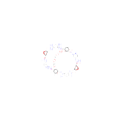 COc1c2cc(C)cc1C(=O)NC1CCCC(C1)NC(=O)c1cc(C)cc3c1OCCOCCOCCOc1c(cc(C)cc1C(=O)NC1CCCC(C1)NC(=O)c1cc(C)cc(c1OC)C(=O)NC1CCC(C)C(C1)NC3=O)C(=O)NC1CCCC(C1)NC2=O